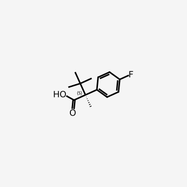 CC(C)(C)[C@](C)(C(=O)O)c1ccc(F)cc1